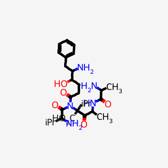 CC(N)C(=O)NC(C)C(=O)C(C(=O)O)(C(C)C)N(C(=O)CCC(O)C(N)Cc1ccccc1)C(=O)C(N)C(C)C